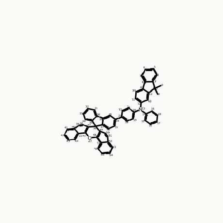 CC1(C)c2ccccc2-c2ccc(N(c3ccccc3)c3ccc(-c4ccc5c(c4)-c4ccccc4C54c5ccc6ccccc6c5Oc5c4ccc4ccccc54)cc3)cc21